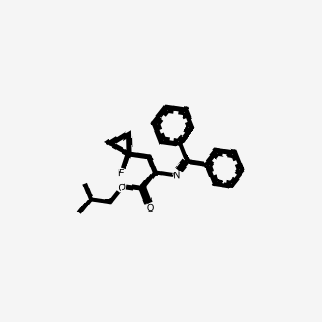 CC(C)COC(=O)C(CC1(F)CC1)N=C(c1ccccc1)c1ccccc1